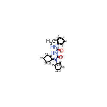 Cc1ccccc1NC(=O)NC(=O)N(C1CCCCC1)C1CCCCC1